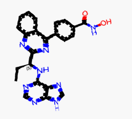 CC[C@H](Nc1ncnc2[nH]cnc12)c1nc(-c2ccc(C(=O)NO)cc2)c2ccccc2n1